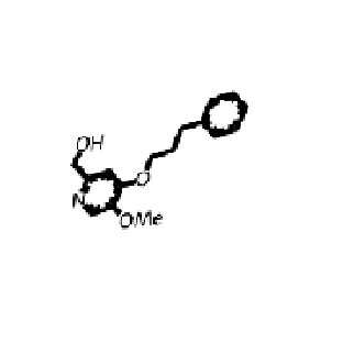 COc1cnc(CO)cc1OCCCc1ccccc1